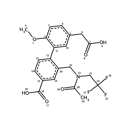 COc1ccc(CC(=O)O)cc1-c1ccc(C(=O)O)cc1CN(CC(F)(F)F)C(C)=O